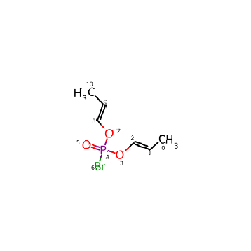 CC=COP(=O)(Br)OC=CC